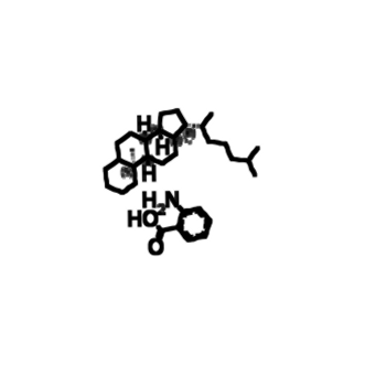 CC(C)CCCC(C)[C@H]1CC[C@H]2[C@@H]3CCC4CCCC[C@]4(C)[C@H]3CC[C@]12C.Nc1ccccc1C(=O)O